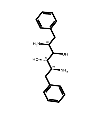 N[C@@H](Cc1ccccc1)C(O)[C@@H](O)[C@@H](N)Cc1ccccc1